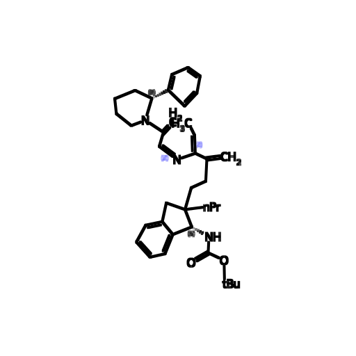 C=C(CCC1(CCC)Cc2ccccc2[C@H]1NC(=O)OC(C)(C)C)C(=C/C)/N=C\C(=C)N1CCCC[C@@H]1c1ccccc1